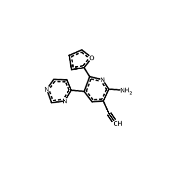 C#Cc1cc(-c2ccncn2)c(-c2ccco2)nc1N